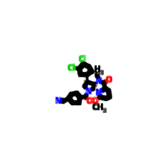 COc1cccc(C(=O)N(C)[C@@H]2CN(C(=O)c3ccc(C#N)cc3)C[C@H]2c2ccc(Cl)c(Cl)c2)n1